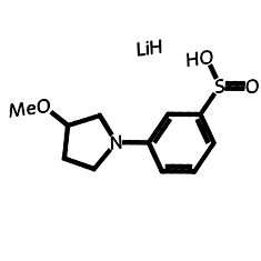 COC1CCN(c2cccc(S(=O)O)c2)C1.[LiH]